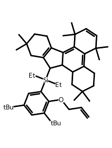 C=CCOc1c(C(C)(C)C)cc(C(C)(C)C)cc1[Si](CC)(CC)C1C2=C(CCC(C)(C)C2)C2=C3C(=C4CCC(C)(C)CC4C21)C(C)(C)C=CC3(C)C